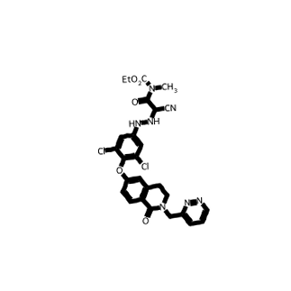 CCOC(=O)N(C)C(=O)C(C#N)NNc1cc(Cl)c(Oc2ccc3c(c2)CCN(Cc2cccnn2)C3=O)c(Cl)c1